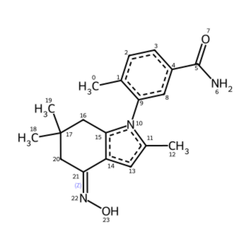 Cc1ccc(C(N)=O)cc1-n1c(C)cc2c1CC(C)(C)C/C2=N/O